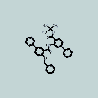 CC(C)(C)OC(=O)c1ccc(-c2ccccc2)cc1NC(=O)c1cc(-c2ccccn2)ccc1OCc1ccccc1